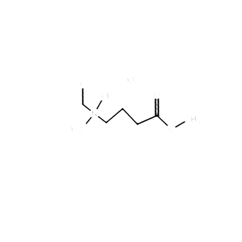 COC(=O)CCC[N+](C)(C)CCl.[Cl-]